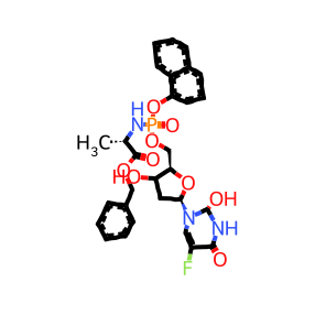 C[C@H](NP(=O)(OC[C@H]1O[C@@H](N2C=C(F)C(=O)NC2O)CC1O)Oc1cccc2ccccc12)C(=O)OCc1ccccc1